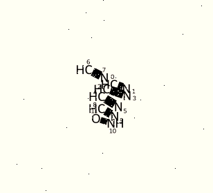 C#N.C#N.C#N.C#N.C#N.N=O